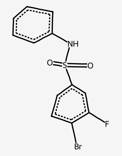 O=S(=O)(Nc1ccccc1)c1ccc(Br)c(F)c1